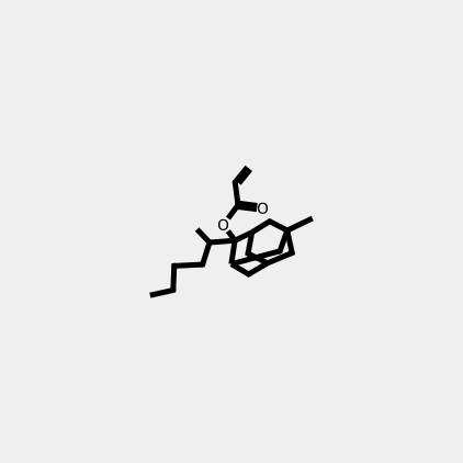 C=CC(=O)OC1(C(C)CCCC)C2CC3CC1CC(C)(C3)C2